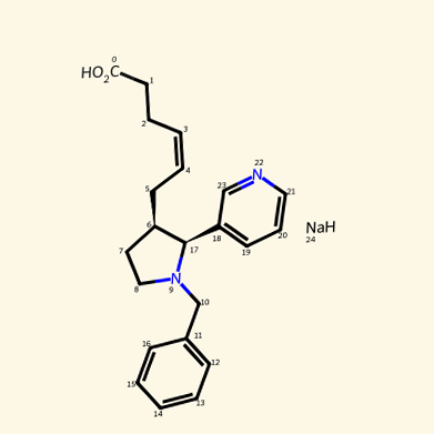 O=C(O)CC/C=C\C[C@@H]1CCN(Cc2ccccc2)[C@@H]1c1cccnc1.[NaH]